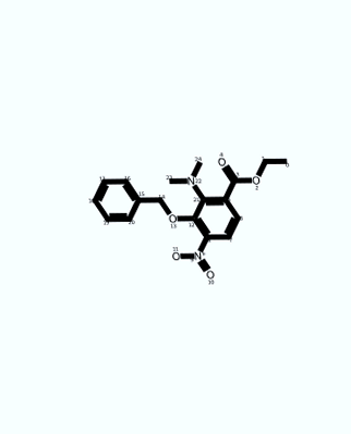 CCOC(=O)c1ccc([N+](=O)[O-])c(OCc2ccccc2)c1N(C)C